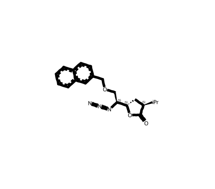 CC(C)[C@@H]1C[C@@H]([C@H](COCc2ccc3ccccc3c2)N=[N+]=[N-])OC1=O